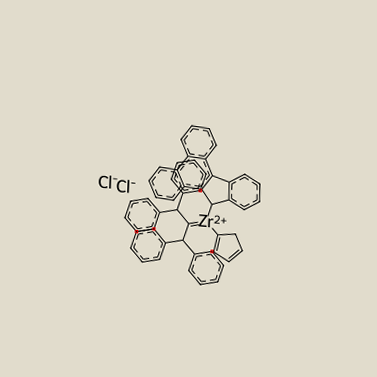 C1=CC[C]([Zr+2](=[C](C(c2ccccc2)c2ccccc2)C(c2ccccc2)c2ccccc2)[CH]2c3ccccc3-c3c2c2ccccc2c2ccccc32)=C1.[Cl-].[Cl-]